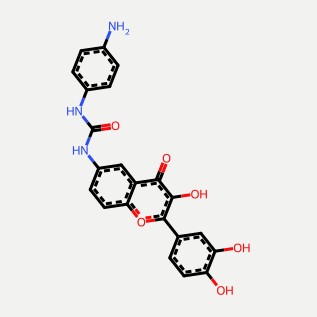 Nc1ccc(NC(=O)Nc2ccc3oc(-c4ccc(O)c(O)c4)c(O)c(=O)c3c2)cc1